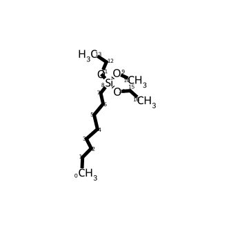 CCCCCCCC[Si](OC)(OCC)OCC